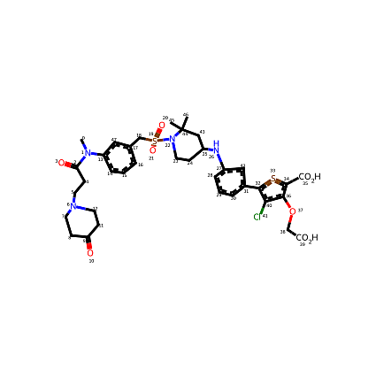 CN(C(=O)CCN1CCC(=O)CC1)c1cccc(CS(=O)(=O)N2CCC(Nc3cccc(-c4sc(C(=O)O)c(OCC(=O)O)c4Cl)c3)CC2(C)C)c1